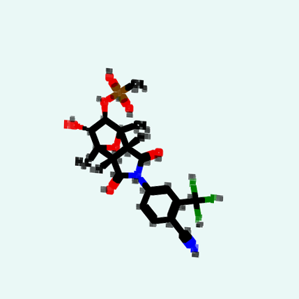 CC12OC(C)([C@H](O)[C@H]1OS(C)(=O)=O)[C@H]1C(=O)N(c3ccc(C#N)c(C(F)(F)F)c3)C(=O)[C@H]12